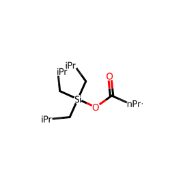 CC[CH]C(=O)O[Si](CC(C)C)(CC(C)C)CC(C)C